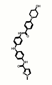 Cn1ccc(C(=O)Nc2ccc(Nc3ccc(NC(=O)c4ccc(N5CCC(O)CC5)cc4)cc3)cc2)n1